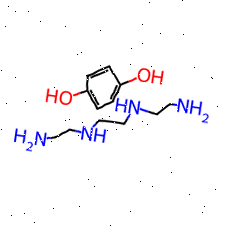 NCCNCCNCCN.Oc1ccc(O)cc1